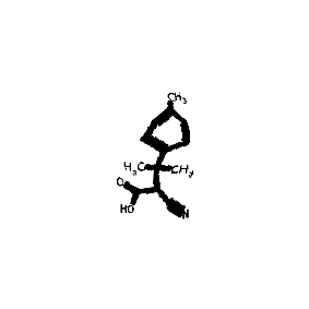 Cc1ccc(C(C)(C)C(C#N)C(=O)O)cc1